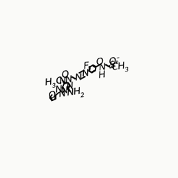 Cn1c(=O)n(CCN2CCN(c3ccc(C(=O)NCC[S@+](C)[O-])cc3F)CC2)c2nc(N)n3nc(-c4ccco4)nc3c21